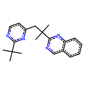 CC(C)(C)c1nccc(CC(C)(C)c2ncc3ccccc3n2)n1